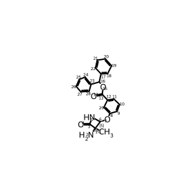 C[C@@]1(N)C(=O)N[C@H]1Oc1cccc(C(=O)OC(c2ccccc2)c2ccccc2)c1